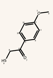 COc1ccc(C(=O)CS)cc1